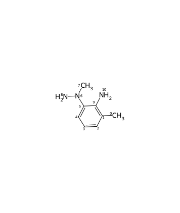 Cc1cccc(N(C)N)c1N